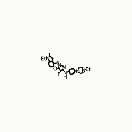 CCN1CCN(c2ccc(Nc3ncnc(Oc4ccc5c(cc(C)n5CC)c4F)c3F)cc2)CC1